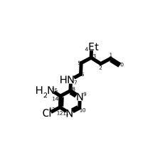 C=CCC(CC)CCNc1ncnc(Cl)c1N